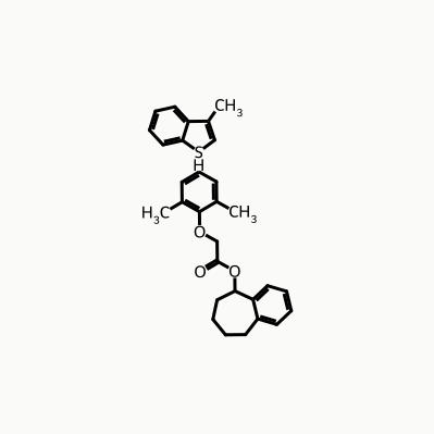 CC1=C[SH](c2cc(C)c(OCC(=O)OC3CCCCc4ccccc43)c(C)c2)c2ccccc21